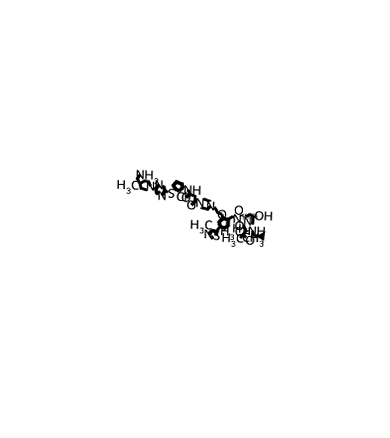 Cc1ncsc1-c1ccc(CNC(=O)[C@@H]2C[C@@H](O)CN2C(=O)[C@@H](NC(=O)C2CC2)C(C)(C)C)c(OCCN2CCN(C(=O)CC(=O)Nc3cccc(Sc4cnc(N5CCC(C)(CN)CC5)cn4)c3Cl)CC2)c1